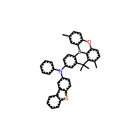 Cc1ccc2c(c1)B1c3ccc(N(c4ccccc4)c4ccc5sc6ccccc6c5c4)cc3C(C)(C)c3c(C)ccc(c31)O2